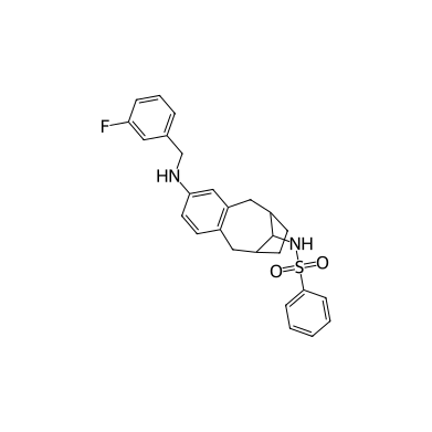 O=S(=O)(NC1C2CCC1Cc1cc(NCc3cccc(F)c3)ccc1C2)c1ccccc1